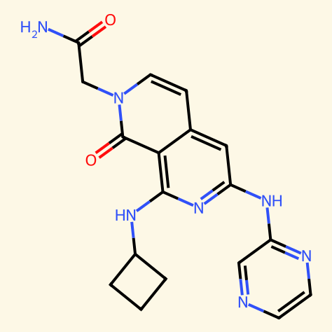 NC(=O)Cn1ccc2cc(Nc3cnccn3)nc(NC3CCC3)c2c1=O